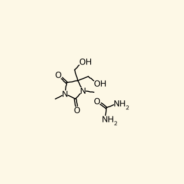 CN1C(=O)N(C)C(CO)(CO)C1=O.NC(N)=O